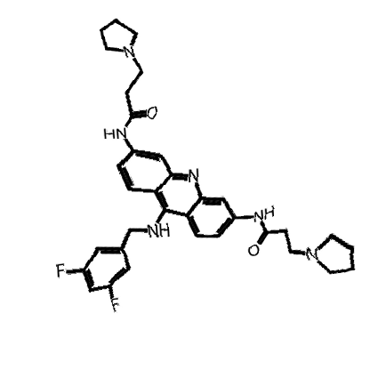 O=C(CCN1CCCC1)Nc1ccc2c(NCc3cc(F)cc(F)c3)c3ccc(NC(=O)CCN4CCCC4)cc3nc2c1